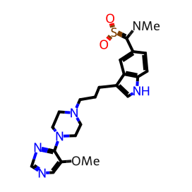 CNC(c1ccc2[nH]cc(CCCN3CCN(c4ncncc4OC)CC3)c2c1)=S(=O)=O